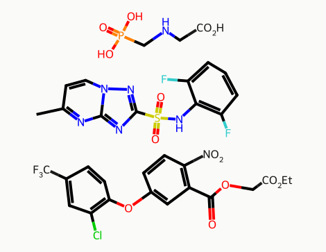 CCOC(=O)COC(=O)c1cc(Oc2ccc(C(F)(F)F)cc2Cl)ccc1[N+](=O)[O-].Cc1ccn2nc(S(=O)(=O)Nc3c(F)cccc3F)nc2n1.O=C(O)CNCP(=O)(O)O